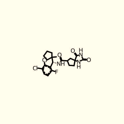 CC1([C@H](NC(=O)C2CCC3(C2)NC(=O)NC3=O)c2c(F)ccc(Cl)c2Cl)CCCC1